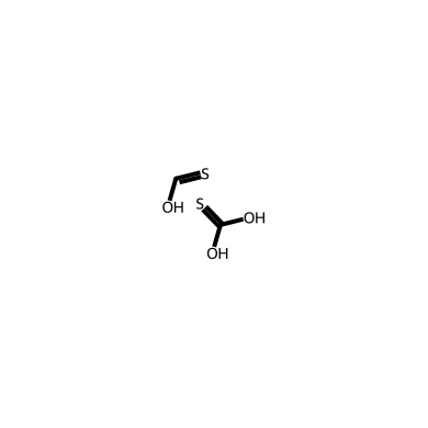 OC(O)=S.OC=S